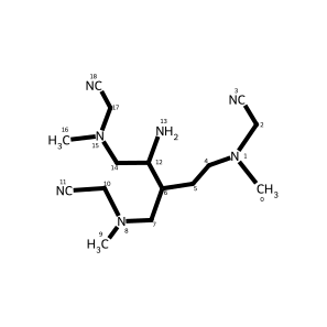 CN(CC#N)CCC(CN(C)CC#N)C(N)CN(C)CC#N